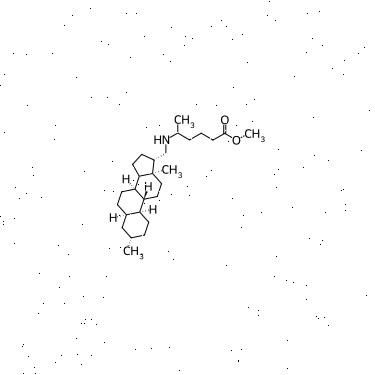 COC(=O)CCCC(C)NC[C@H]1CCC2[C@@H]3CC[C@@H]4C[C@@H](C)CC[C@@H]4[C@H]3CC[C@@]21C